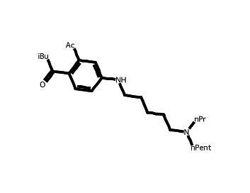 CCCCCN(CCC)CCCCCNc1ccc(C(=O)C(C)CC)c(C(C)=O)c1